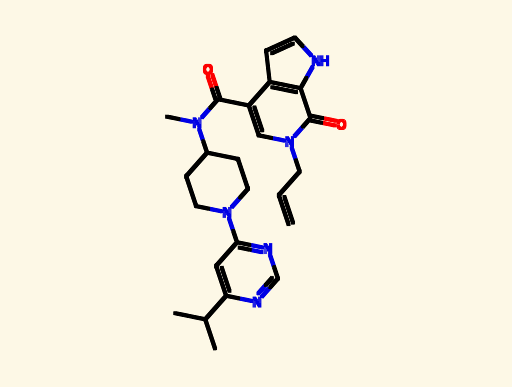 C=CCn1cc(C(=O)N(C)C2CCN(c3cc(C(C)C)ncn3)CC2)c2cc[nH]c2c1=O